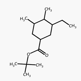 CCC1CC(C(=O)OC(C)(C)C)CC(C)C1C